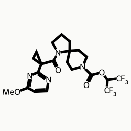 COc1ccnc(C2(C(=O)N3CCCC34CCN(C(=O)OC(C(F)(F)F)C(F)(F)F)CC4)CC2)n1